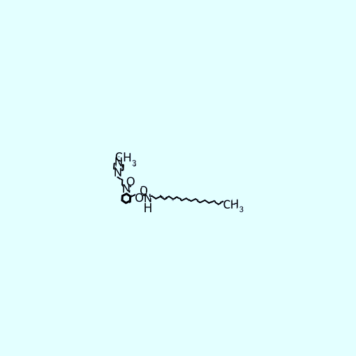 CCCCCCCCCCCCCCCCCCNC(=O)OCc1ccccc1N(C=O)CCCN1CCN(C)CC1